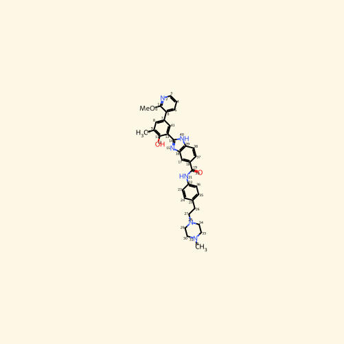 COc1ncccc1-c1cc(C)c(O)c(-c2nc3cc(C(=O)Nc4ccc(CCN5CCN(C)CC5)cc4)ccc3[nH]2)c1